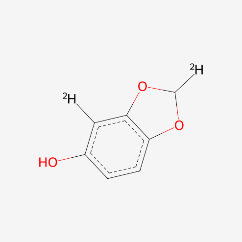 [2H]c1c(O)ccc2c1OC([2H])O2